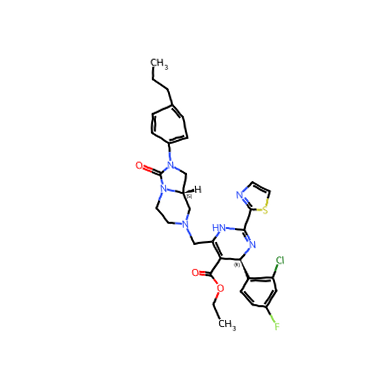 CCCc1ccc(N2C[C@@H]3CN(CC4=C(C(=O)OCC)[C@H](c5ccc(F)cc5Cl)N=C(c5nccs5)N4)CCN3C2=O)cc1